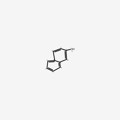 Oc1c[c]c2ccccc2c1